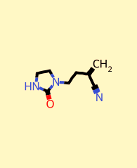 C=C(C#N)CCN1CCNC1=O